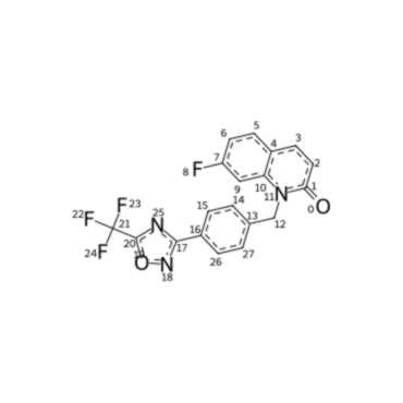 O=c1ccc2ccc(F)cc2n1Cc1ccc(-c2noc(C(F)(F)F)n2)cc1